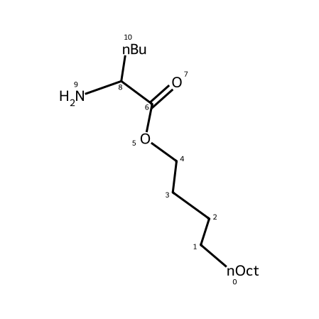 CCCCCCCCCCCCOC(=O)C(N)CCCC